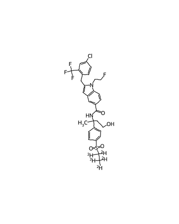 [2H]C([2H])([2H])C([2H])([2H])S(=O)(=O)c1ccc(C(C)(CCO)NC(=O)c2ccc3c(c2)cc(Cc2ccc(Cl)cc2C(F)(F)F)n3CCF)cc1